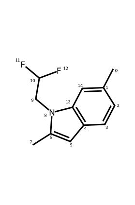 Cc1ccc2cc(C)n(CC(F)F)c2c1